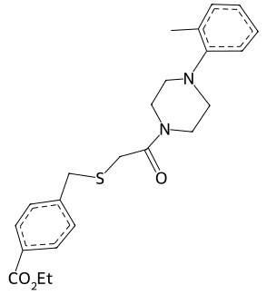 CCOC(=O)c1ccc(CSCC(=O)N2CCN(c3ccccc3C)CC2)cc1